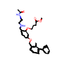 COC(=O)CCCOc1cc(OCc2cccc(-c3ccccc3)c2C)ccc1CNCCNC(C)=O